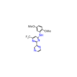 COc1ccc(OC)c(Nc2cc(C(F)(F)F)nc(-c3cnccn3)n2)c1